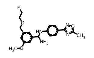 COc1cc(COCCF)cc(C(N)Nc2ccc(-c3noc(C)n3)cc2)c1